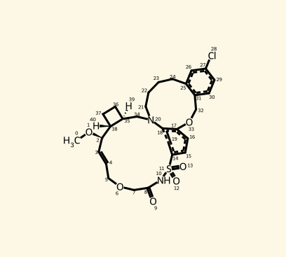 CO[C@@H]1/C=C/COCC(=O)NS(=O)(=O)c2ccc3c(c2)N(CCCCc2cc(Cl)ccc2CO3)C[C@@H]2CC[C@H]21